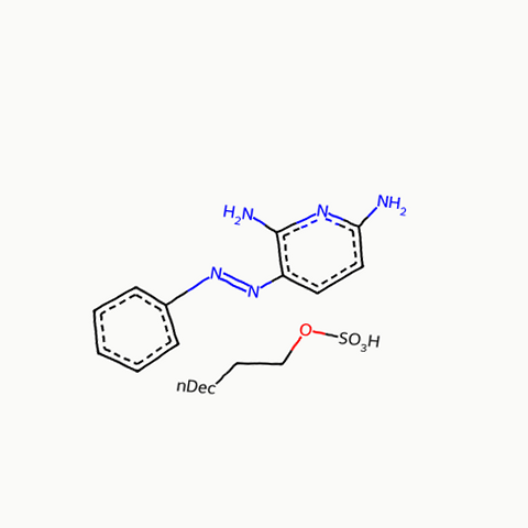 CCCCCCCCCCCCOS(=O)(=O)O.Nc1ccc(N=Nc2ccccc2)c(N)n1